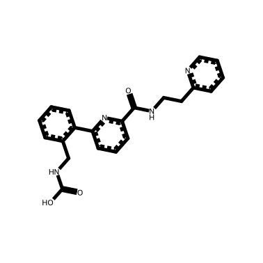 O=C(O)NCc1ccccc1-c1cccc(C(=O)NCCc2ccccn2)n1